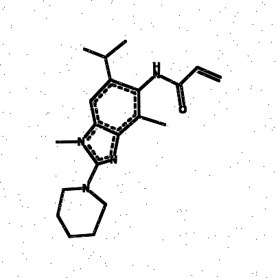 C=CC(=O)Nc1c(C(C)C)cc2c(nc(N3CCCCC3)n2C)c1C